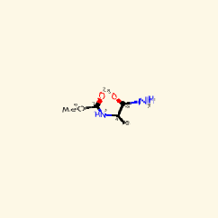 COC(=O)NC(C)C([NH])=O